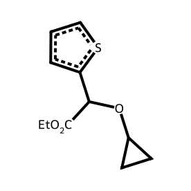 CCOC(=O)C(OC1CC1)c1cccs1